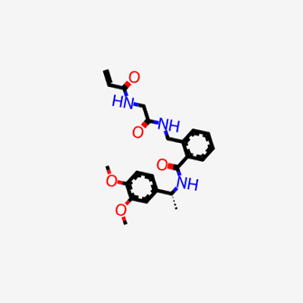 C=CC(=O)NCC(=O)NCc1ccccc1C(=O)N[C@H](C)c1ccc(OC)c(OC)c1